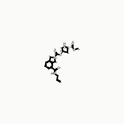 C=CCNC(=O)c1cccc2c1CN(C(=O)O[C@H]1CN[C@H](C(=O)OC)C1)C2